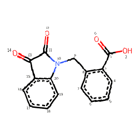 O=C(O)c1ccccc1CN1C(=O)C(=O)c2ccccc21